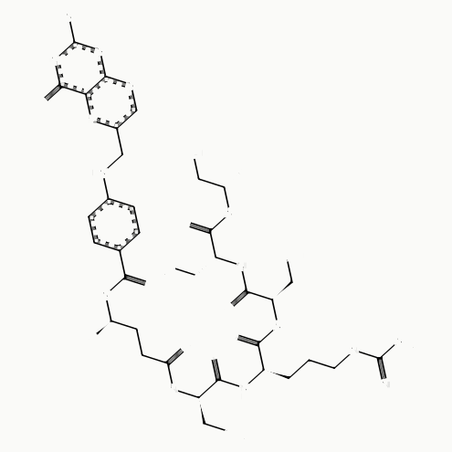 N=C(N)NCCC[C@@H](NC(=O)[C@@H](CC(=O)O)NC(=O)CC[C@H](NC(=O)c1ccc(NCc2cnc3nc(N)[nH]c(=O)c3n2)cc1)C(=O)O)C(=O)N[C@H](CC(=O)O)C(=O)N[C@H](CC(=O)O)C(=O)N[C@H](CS)C(=O)O